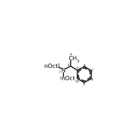 CCCCCCCCN(CCCCCCCC)C(C)c1ccccc1